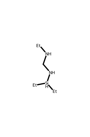 CCNCN[SiH](CC)CC